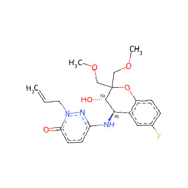 C=CCn1nc(N[C@@H]2c3cc(F)ccc3OC(COC)(COC)[C@H]2O)ccc1=O